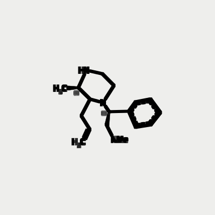 C=CCC1[C@@H](C)NCCN1[C@H](CNC)c1ccccc1